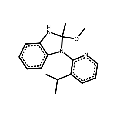 COC1(C)Nc2ccccc2N1c1ncccc1C(C)C